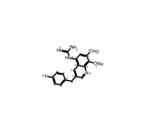 COc1c(C=O)cc(NC(=N)N)c2cc(Cc3ccc(F)cc3)cnc12